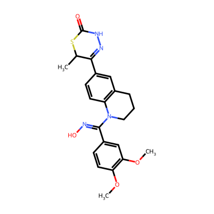 COc1ccc(C(=NO)N2CCCc3cc(C4=NNC(=O)SC4C)ccc32)cc1OC